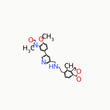 COc1ccc(-c2cncc(CNCCc3ccc4c(c3C)COC4=O)c2)cc1N(C)C=O